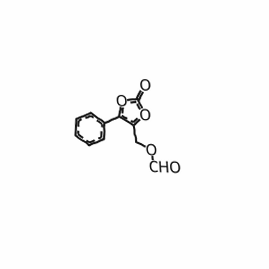 O=COCc1oc(=O)oc1-c1ccccc1